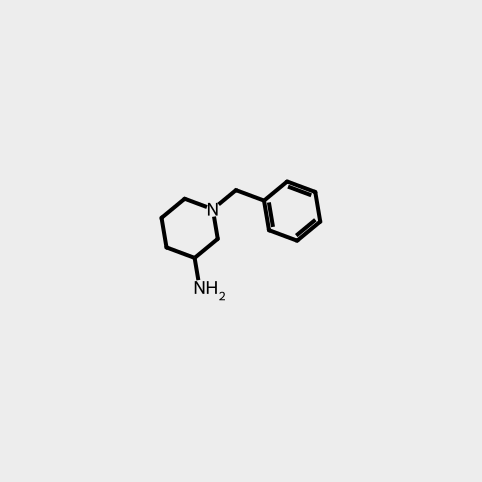 NC1CCCN(Cc2ccccc2)C1